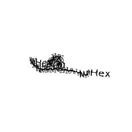 CCCCCC/C=C\C/N=C/CCCCCCCC(CCCCCCC/C=N/C/C=C\CCCCCC)OC(=O)CC(C)(C)CC(C)(C)CN(C)C